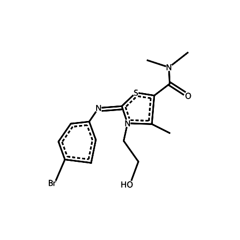 Cc1c(C(=O)N(C)C)sc(=Nc2ccc(Br)cc2)n1CCO